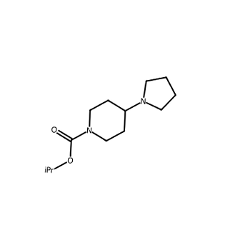 CC(C)OC(=O)N1CCC(N2CCCC2)CC1